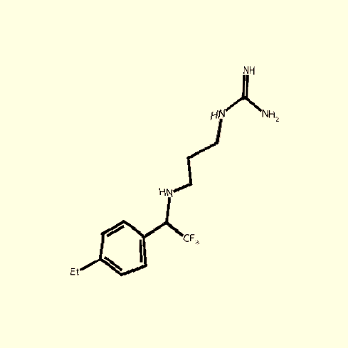 CCc1ccc(C(NCCCNC(=N)N)C(F)(F)F)cc1